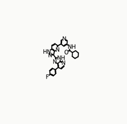 O=C(Nc1cncc(-c2ccc3[nH]nc(-c4nc5c(-c6ccc(F)cc6)ccnc5[nH]4)c3n2)c1)C1CCCCC1